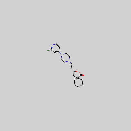 O=C1O[C@H](CCN2CCN(c3ccnc(Cl)c3)CC2)CC12CCCCC2